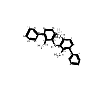 Cc1ccc(-c2ccccc2)c(C)c1Sc1c(C)ccc(-c2ccccc2)c1C